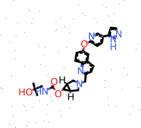 CC(C)(O)CNC(=O)O[C@H]1[C@@H]2CN(Cc3ccc4cc(Oc5ccc(-c6ccn[nH]6)cn5)ccc4n3)C[C@@H]21